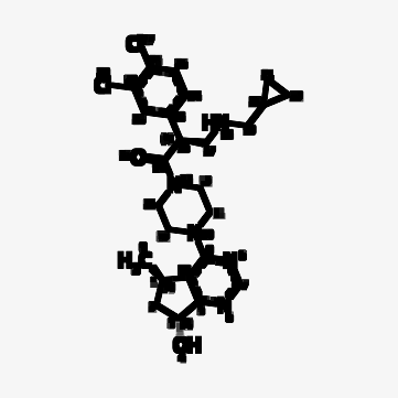 C[C@@H]1C[C@@H](O)c2ncnc(N3CCN(C(=O)[C@H](CNCC4CC4)c4ccc(Cl)c(Cl)c4)CC3)c21